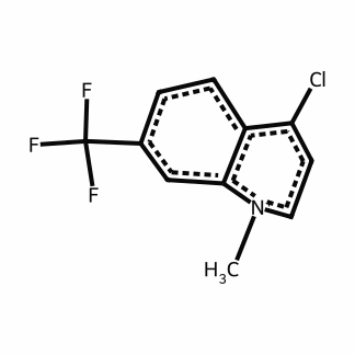 C[n+]1ccc(Cl)c2ccc(C(F)(F)F)cc21